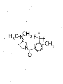 Cc1ccc(C(=O)N2CCC(N(C)C)C2)cc1C(F)(F)F